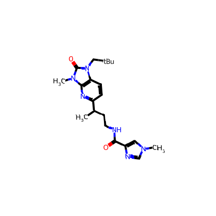 CC(CCNC(=O)c1cn(C)cn1)c1ccc2c(n1)n(C)c(=O)n2CC(C)(C)C